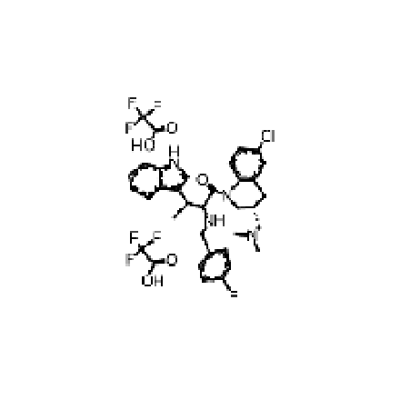 CC(c1c[nH]c2ccccc12)C(NCc1ccc(F)cc1)C(=O)N1C[C@@H](CN(C)C)Cc2cc(Cl)ccc21.O=C(O)C(F)(F)F.O=C(O)C(F)(F)F